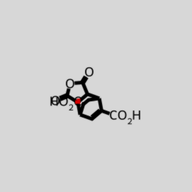 O=C(O)C1=CC2C(C(=O)O)CC1C1C(=O)OC(=O)C21